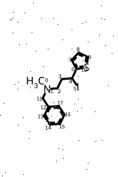 CN(CCC(I)c1cccs1)Cc1ccccc1